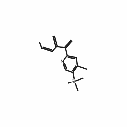 C=C(/C=C\C)C(=C)c1cc(C)c([Si](C)(C)C)cn1